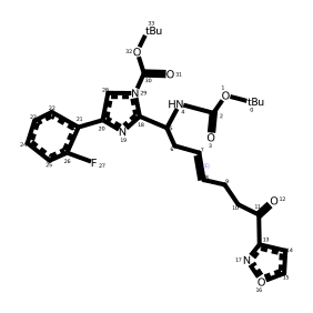 CC(C)(C)OC(=O)NC(C/C=C/CCC(=O)c1ccon1)c1nc(-c2ccccc2F)cn1C(=O)OC(C)(C)C